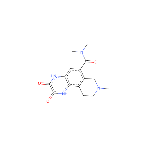 CN1CCc2c(c(C(=O)N(C)C)cc3[nH]c(=O)c(=O)[nH]c23)C1